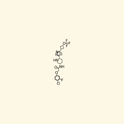 O=C(COc1ccc(Cl)c(F)c1)N[C@H]1CC[C@H](c2nnc(C3CC(OC(F)(F)F)C3)o2)NC1